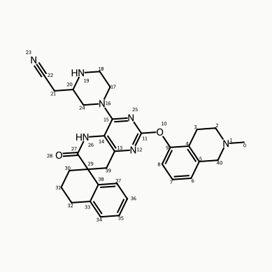 CN1CCc2c(cccc2Oc2nc3c(c(N4CCNC(CC#N)C4)n2)NC(=O)C2(CCCc4ccccc42)C3)C1